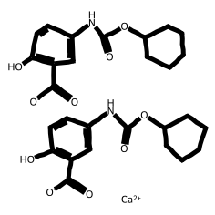 O=C(Nc1ccc(O)c(C(=O)[O-])c1)OC1CCCCC1.O=C(Nc1ccc(O)c(C(=O)[O-])c1)OC1CCCCC1.[Ca+2]